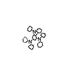 C1=CCCC(N(c2ccccc2)c2cc(N(c3ccccc3)c3ccccc3)c3c4ccccc4n(-c4ccccc4)c3c2)=C1